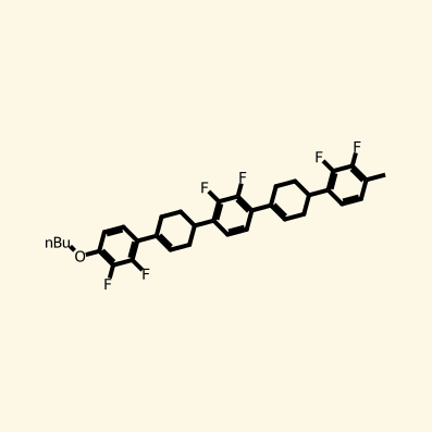 CCCCOc1ccc(C2=CCC(c3ccc(C4=CCC(c5ccc(C)c(F)c5F)CC4)c(F)c3F)CC2)c(F)c1F